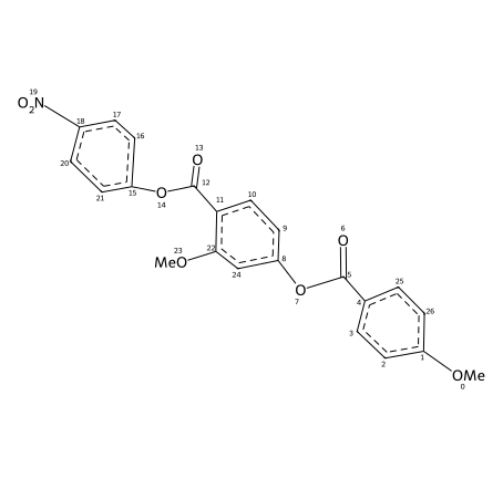 COc1ccc(C(=O)Oc2ccc(C(=O)Oc3ccc([N+](=O)[O-])cc3)c(OC)c2)cc1